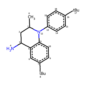 CC1CC(N)c2cc(C(C)(C)C)ccc2N1c1ccc(C(C)(C)C)cc1